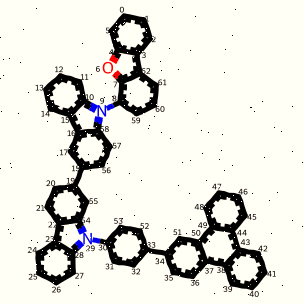 c1ccc2c(c1)oc1c(-n3c4ccccc4c4cc(-c5ccc6c7ccccc7n(-c7ccc(-c8ccc9c%10ccccc%10c%10ccccc%10c9c8)cc7)c6c5)ccc43)cccc12